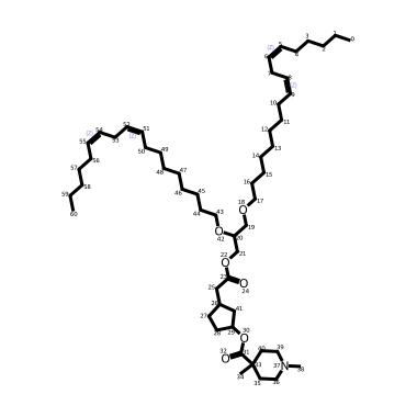 CCCCC/C=C\C/C=C\CCCCCCCCOCC(COC(=O)CC1CCC(OC(=O)C2(C)CCN(C)CC2)C1)OCCCCCCCC/C=C\C/C=C\CCCCC